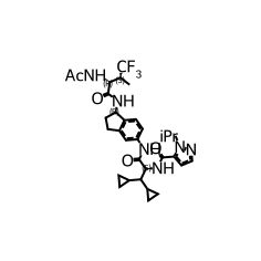 CC(=O)N[C@@H](C(=O)N[C@@H]1CCc2cc(NC(=O)[C@@H](NC(=O)c3ccnn3C(C)C)C(C3CC3)C3CC3)ccc21)[C@H](C)C(F)(F)F